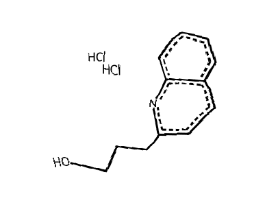 Cl.Cl.OCCCc1ccc2ccccc2n1